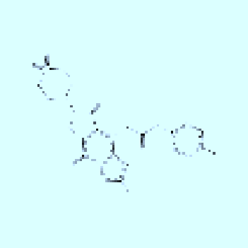 CCc1cc2n(CC(=O)Nc3ccc(F)cn3)c3c(c(=O)n2n1)CN(C1CCS(=O)(=O)CC1)C3=O